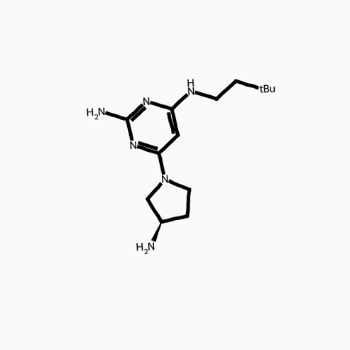 CC(C)(C)CCNc1cc(N2CC[C@@H](N)C2)nc(N)n1